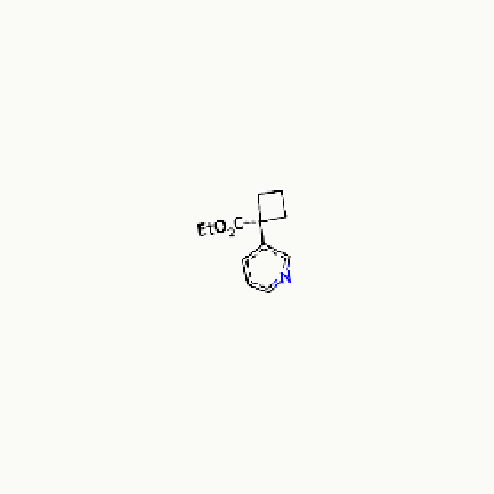 CCOC(=O)C1(c2cccnc2)CCC1